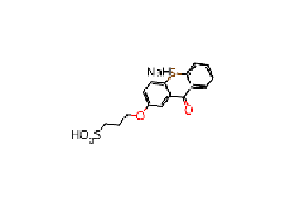 O=c1c2ccccc2sc2ccc(OCCCS(=O)(=O)O)cc12.[NaH]